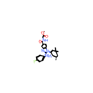 COC(=O)CNC(=O)c1ccc2c(c1)nc(Nc1ccc(F)cc1)n2C1C[C@H](C)CC(C)(C)C1